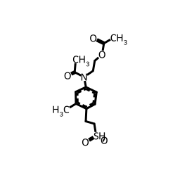 CC(=O)OCCN(C(C)=O)c1ccc(CC[SH](=O)=O)c(C)c1